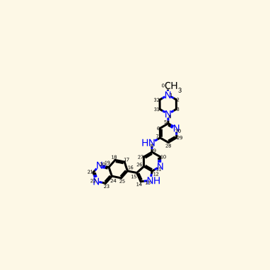 CN1CCN(c2cc(Nc3cnc4[nH]cc(-c5ccc6ncncc6c5)c4c3)ccn2)CC1